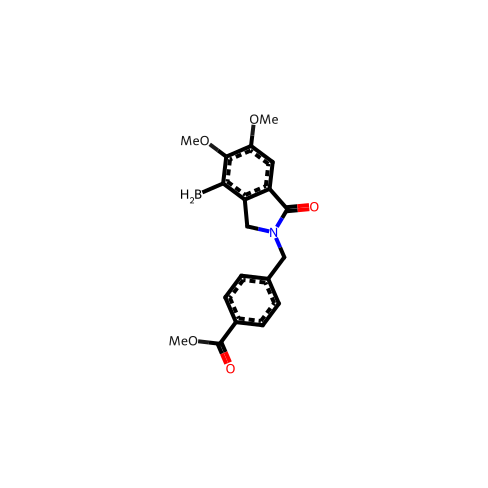 Bc1c2c(cc(OC)c1OC)C(=O)N(Cc1ccc(C(=O)OC)cc1)C2